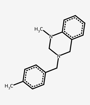 Cc1ccc(CN2Cc3ccccc3N(C)C2)cc1